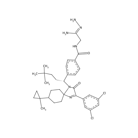 CC(C)(C)CC[C@H](c1ccc(C(=O)NC/C(N)=N/N)cc1)N1C(=O)C(c2cc(Cl)cc(Cl)c2)=NC12CCC(C1(C)CC1)CC2